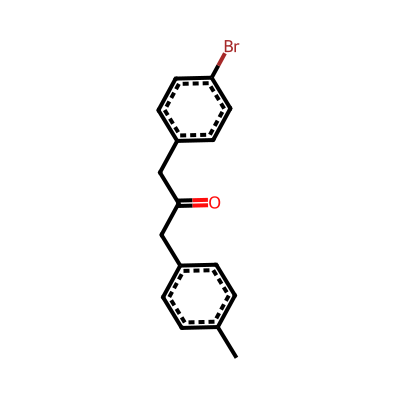 Cc1ccc(CC(=O)Cc2ccc(Br)cc2)cc1